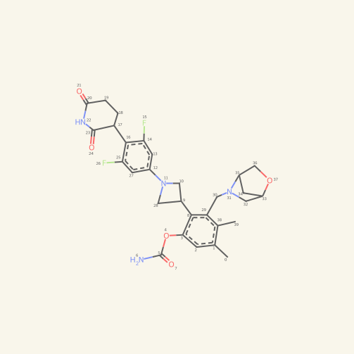 Cc1cc(OC(N)=O)c(C2CN(c3cc(F)c(C4CCC(=O)NC4=O)c(F)c3)C2)c(CN2CC3CC2CO3)c1C